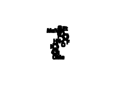 CCN(c1ccc(F)c(C(=O)Nc2cnc3cc(OC)nn3c2)c1F)S(=O)(=O)NC